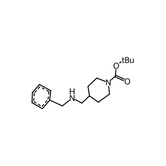 CC(C)(C)OC(=O)N1CCC(CNCc2ccccc2)CC1